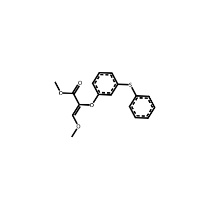 CO/C=C(\Oc1cccc(Sc2ccccc2)c1)C(=O)OC